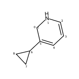 [C]1NC=CC=C1C1CC1